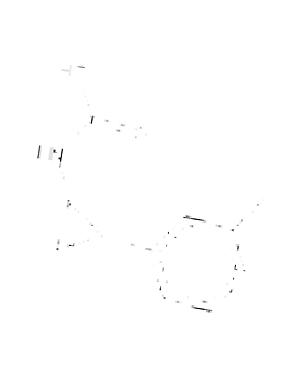 Cc1cccc(C2CC2NC(=O)O)c1